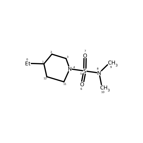 CCC1CCN(S(=O)(=O)N(C)C)CC1